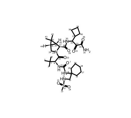 CC(C)(C)[C@H](NC(=O)NC1(CNS(C)(=O)=O)CCCCC1)C(=O)N1C[C@H]2[C@@H]([C@H]1C(=O)NC(C(=O)C(N)=O)C1CCC1)C2(C)C